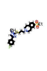 CCS(=O)(=O)c1ccc2c(c1)CCN(CCCSc1nc(-c3ccc(F)cc3)cn1C)CC2